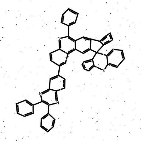 c1ccc(-c2nc3ccc(-c4ccc5nc(-c6ccccc6)c6cc7c(cc6c5c4)C4(c5ccccc5Sc5ccccc54)c4ccccc4-7)cc3nc2-c2ccccc2)cc1